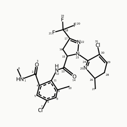 CNC(=O)c1cc(Cl)cc(C)c1NC(=O)C1CC(C(F)(F)F)=NN1C1=NC(C)CC=C1Cl